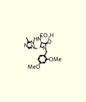 COc1ccc(CN2C(=O)[C@@H](NC(=O)O)[C@H]2Cn2cnc(C)n2)c(OC)c1